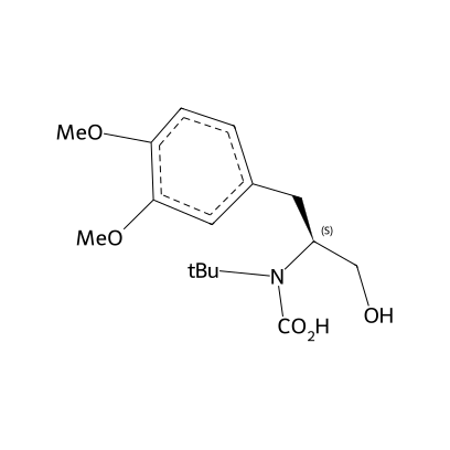 COc1ccc(C[C@@H](CO)N(C(=O)O)C(C)(C)C)cc1OC